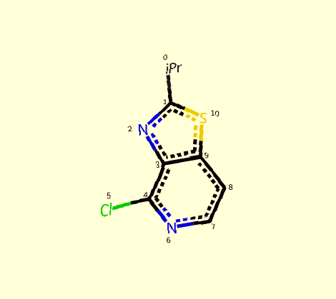 CC(C)c1nc2c(Cl)nccc2s1